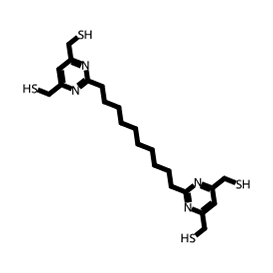 SCc1cc(CS)nc(CCCCCCCCCCc2nc(CS)cc(CS)n2)n1